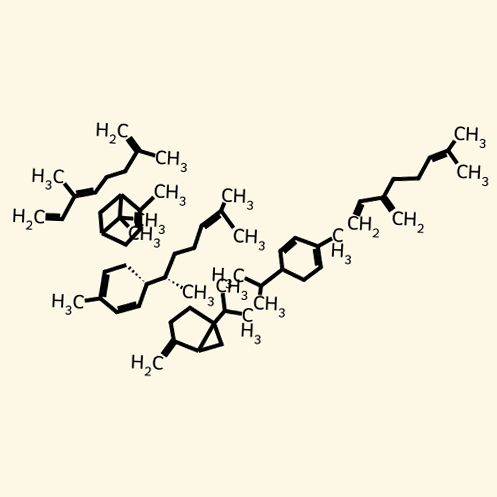 C=C/C(C)=C/CCC(=C)C.C=C1CCC2(C(C)C)CC12.C=CC(=C)CCC=C(C)C.CC(C)=CCC[C@H](C)[C@@H]1C=CC(C)=CC1.CC1=CCC(C(C)C)C=C1.CC1=CCC2CC1C2(C)C